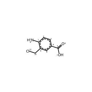 Nc1ccc(C(=O)O)cc1CCl